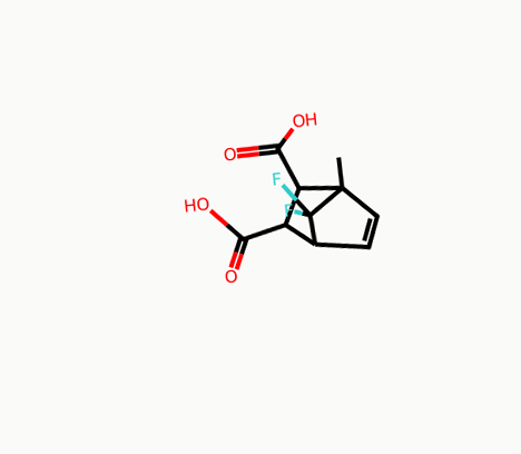 CC12C=CC(C(C(=O)O)C1C(=O)O)C2(F)F